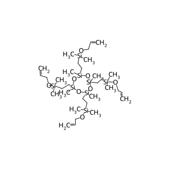 C=CCO[Si](C)(C)CC[Si]1(C)O[Si](C)(CC[Si](C)(C)OCC=C)O[Si](C)(CC[Si](C)(C)OCC=C)O[Si](C)(CC[Si](C)(C)OCC=C)O1